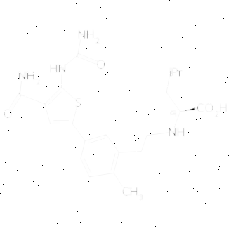 Cc1ccc(-c2cc(C(N)=O)c(NC(N)=O)s2)cc1CCN[C@@H](CC(C)C)C(=O)O